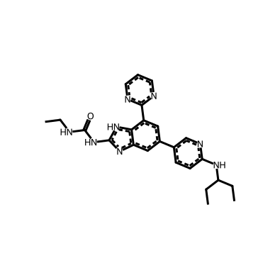 CCNC(=O)Nc1nc2cc(-c3ccc(NC(CC)CC)nc3)cc(-c3ncccn3)c2[nH]1